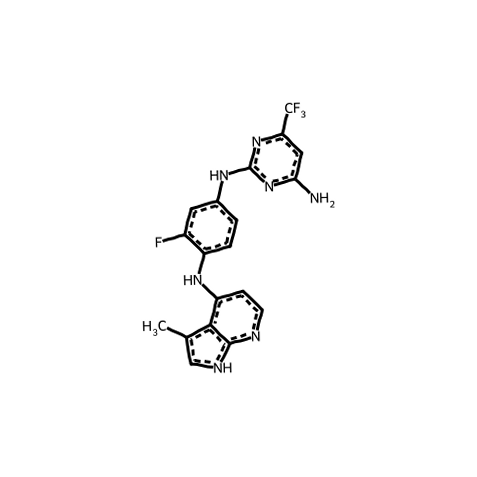 Cc1c[nH]c2nccc(Nc3ccc(Nc4nc(N)cc(C(F)(F)F)n4)cc3F)c12